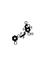 O=C1C[C@@H]2[C@@H](/C=C/C(F)(F)COc3cccc(Cl)c3)[C@H](O)C[C@@H]2O1